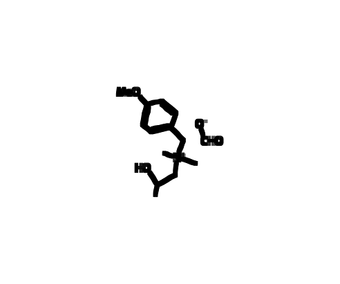 COc1ccc(C[N+](C)(C)CC(C)O)cc1.O=C[O-]